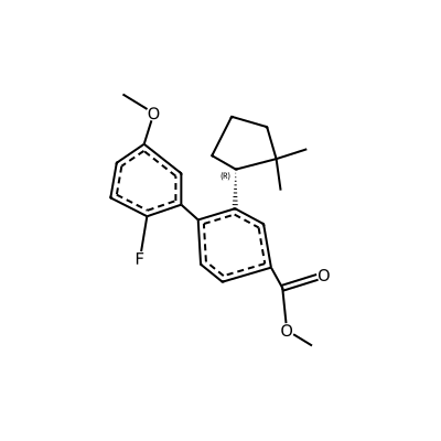 COC(=O)c1ccc(-c2cc(OC)ccc2F)c([C@@H]2CCCC2(C)C)c1